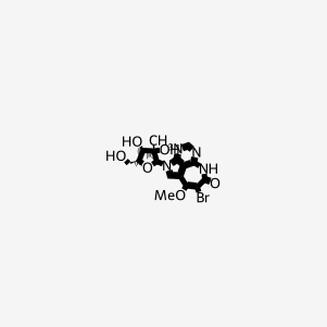 COC1=C(Br)C(=O)Nc2ncnc3c2c1cn3C1O[C@H](CO)[C@@H](O)[C@@]1(C)O